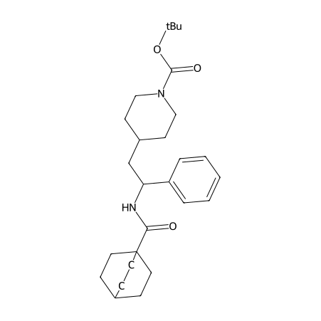 CC(C)(C)OC(=O)N1CCC(CC(NC(=O)C23CCC(CC2)CC3)c2ccccc2)CC1